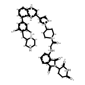 O=C1CCC(N2C(=O)c3cccc(NCC(=O)N4CCC(n5cc(-c6cnc7cccc(-c8cc(F)c(CC9CNCCO9)c(F)c8)c7n6)cn5)CC4)c3C2=O)C(=O)N1